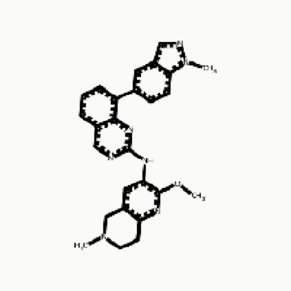 COc1nc2c(cc1Nc1ncc3cccc(-c4ccc5c(cnn5C)c4)c3n1)CN(C)CC2